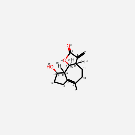 C=C1C(=O)O[C@@H]2[C@@H]3C(=C(C)CC[C@@H]12)CC[C@H]3O